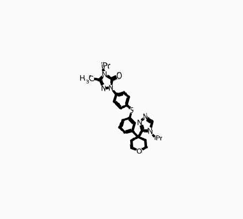 Cc1nn(-c2ccc(Sc3cccc(C4(c5nncn5C(C)C)CCOCC4)c3)cc2)c(=O)n1C(C)C